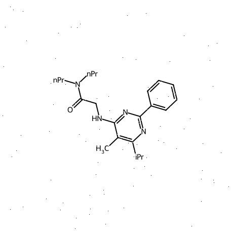 CCCN(CCC)C(=O)CNc1nc(-c2ccccc2)nc(C(C)C)c1C